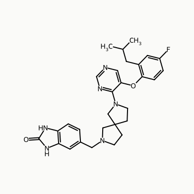 CC(C)Cc1cc(F)ccc1Oc1cncnc1N1CCC2(CCN(Cc3ccc4[nH]c(=O)[nH]c4c3)C2)C1